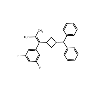 CC(C)=C(c1cc(F)cc(F)c1)C1CN(C(c2ccccc2)c2ccccc2)C1